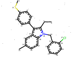 CCc1c(-c2ccc(SC)cc2)c2cc(C)ccc2n1Cc1ccccc1Cl